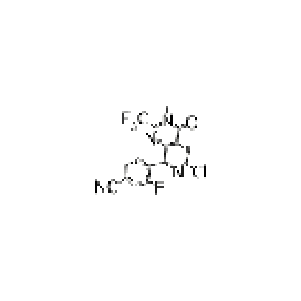 Cn1c(C(F)(F)F)nc2c(-c3ccc(C#N)cc3F)nc(Cl)cc2c1=O